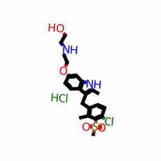 Cc1[nH]c2cc(OCCNCCO)ccc2c1Cc1ccc(Cl)c(S(C)(=O)=O)c1C.Cl